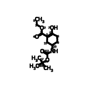 CCOC(=O)C1=C(O)CCC(NC(=O)OC(C)(C)C)C1